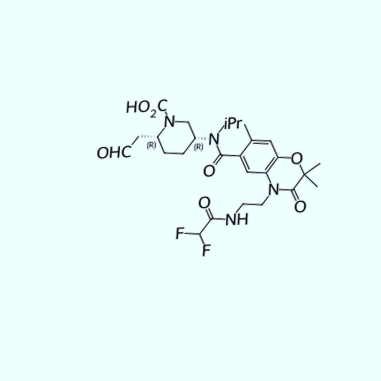 Cc1cc2c(cc1C(=O)N(C(C)C)[C@@H]1CC[C@H](CC=O)N(C(=O)O)C1)N(CCNC(=O)C(F)F)C(=O)C(C)(C)O2